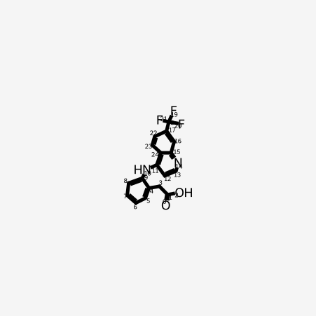 O=C(O)Cc1ccccc1Nc1ccnc2cc(C(F)(F)F)ccc12